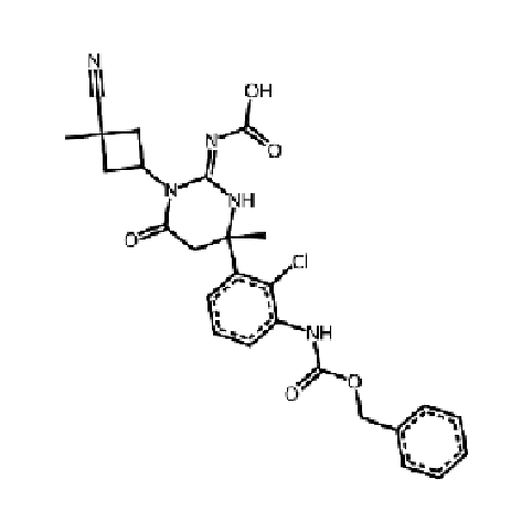 CC1(C#N)CC(N2C(=O)C[C@@](C)(c3cccc(NC(=O)OCc4ccccc4)c3Cl)N/C2=N\C(=O)O)C1